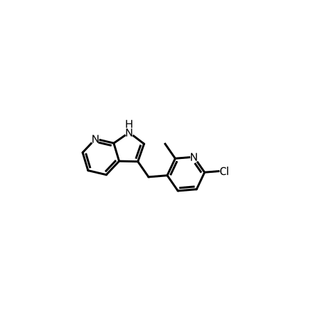 Cc1nc(Cl)ccc1Cc1c[nH]c2ncccc12